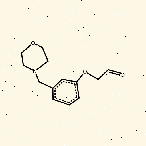 O=CCOc1cccc(CN2CCOCC2)c1